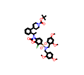 COc1ccc(CN(Cc2ccc(OC)cc2OC)S(=O)(=O)c2ccc3c(oc(=O)n3C(C)c3ccccc3C3=CCN(C(=O)OC(C)(C)C)CC3)c2F)c(OC)c1